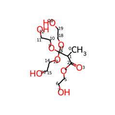 CC(C(=O)OCCO)C(OCCO)(OCCO)OCCO